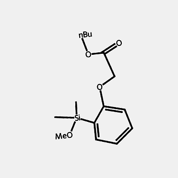 CCCCOC(=O)COc1ccccc1[Si](C)(C)OC